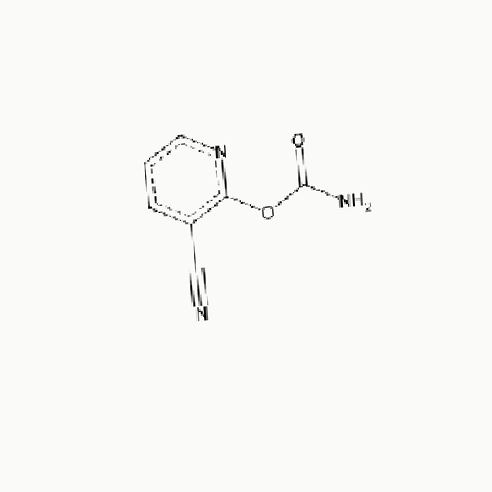 N#Cc1cccnc1OC(N)=O